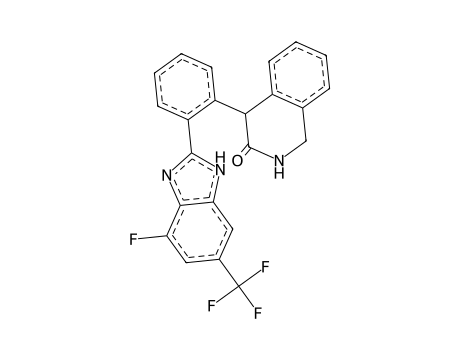 O=C1NCc2ccccc2C1c1ccccc1-c1nc2c(F)cc(C(F)(F)F)cc2[nH]1